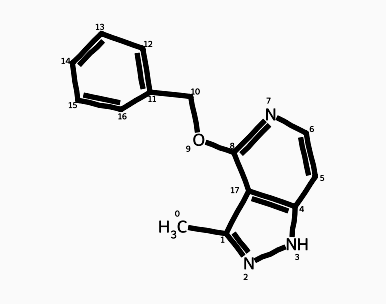 Cc1n[nH]c2ccnc(OCc3ccccc3)c12